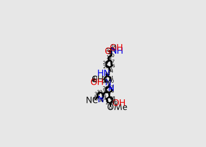 COc1ccc(-c2cnc(N3CCC(NCc4ccc(/C=C/C(=O)NO)cc4)CC3)cc2-c2ccc(C#N)nc2)cc1O.O=CO